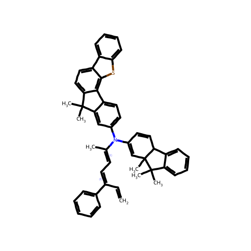 C=C/C(=C\C=C(/C)N(C1=CC2(C)C(C=C1)c1ccccc1C2(C)C)c1ccc2c(c1)C(C)(C)c1ccc3c(sc4ccccc43)c1-2)c1ccccc1